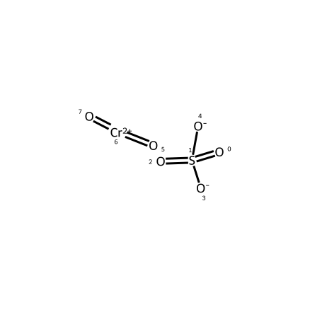 O=S(=O)([O-])[O-].[O]=[Cr+2]=[O]